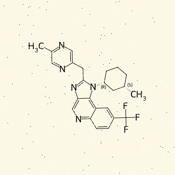 Cc1cnc(Cc2nc3cnc4ccc(C(F)(F)F)cc4c3n2[C@@H]2CCC[C@H](C)C2)cn1